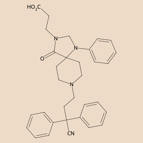 N#CC(CCN1CCC2(CC1)C(=O)N(CCC(=O)O)CN2c1ccccc1)(c1ccccc1)c1ccccc1